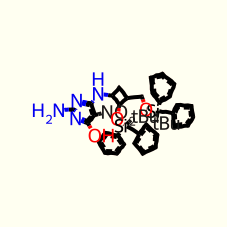 CC(C)(C)[Si](OCC1CC(Nc2nc(N)nc(O)c2[N+](=O)[O-])C1O[Si](c1ccccc1)(c1ccccc1)C(C)(C)C)(c1ccccc1)c1ccccc1